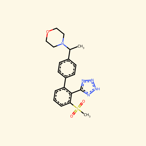 CC(c1ccc(-c2cccc(S(C)(=O)=O)c2-c2nn[nH]n2)cc1)N1CCOCC1